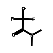 CN(C)C(=O)C([O])(F)F